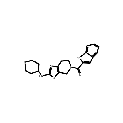 O=C(c1cc2ccccc2[nH]1)N1CCc2nc(NC3CCOCC3)sc2C1